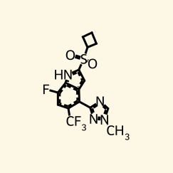 Cn1cnc(-c2c(C(F)(F)F)cc(F)c3[nH]c(S(=O)(=O)C4CCC4)cc23)n1